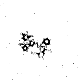 CC(C)OC(=O)[C@H](C)NP(=S)(OC[C@@H]1C[C@@](C)(OC2(OS)CCCC2)[C@H](n2ccc(=O)[nH]c2=O)O1)Oc1ccccc1